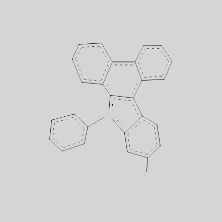 Brc1ccc2c3c4ccccc4c4ccccc4c3n(-c3ccccc3)c2c1